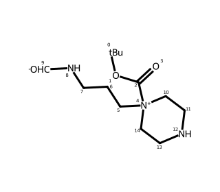 CC(C)(C)OC(=O)[N+]1(CCCN[C]=O)CCNCC1